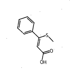 CSC(=CC(=O)O)c1ccccc1